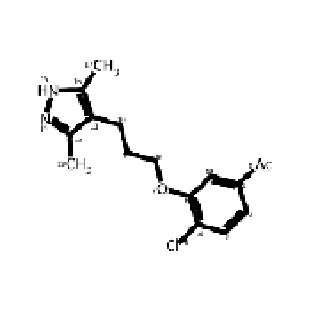 CC(=O)c1ccc(Cl)c(OCCCc2c(C)n[nH]c2C)c1